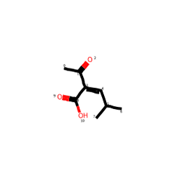 CC(=O)C(=CC(C)C)C(=O)O